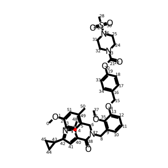 COc1ccc(CN(Cc2cccc(OCc3ccc(OC(=O)N4CCN(S(C)(=O)=O)CC4)cc3)c2OC)C(=O)c2cc(C3CC3)nn2C)c(C)c1